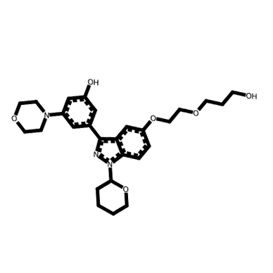 OCCCOCCOc1ccc2c(c1)c(-c1cc(O)cc(N3CCOCC3)c1)nn2C1CCCCO1